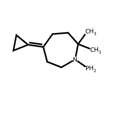 CC1(C)CCC(=C2CC2)CCN1P